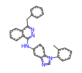 Cc1ccccc1-n1cnc2cc(Nc3nnc(Cc4ccccc4)c4ccccc34)ccc21